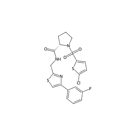 O=C(NCc1nc(-c2cccc(F)c2)cs1)[C@@H]1CCCN1S(=O)(=O)c1ccc(Cl)s1